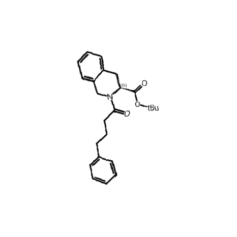 CC(C)(C)OC(=O)[C@@H]1Cc2ccccc2CN1C(=O)CCCc1ccccc1